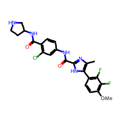 COc1ccc(-c2[nH]c(C(=O)Nc3ccc(C(=O)NC4CCNC4)c(Cl)c3)nc2C)c(F)c1F